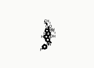 CSCOC(=O)[C@@]1(O)CC[C@H]2[C@@H]3CCC4=Cc5c(cnn5-c5ccc(F)cc5)C[C@]4(C)[C@H]3[C@@H](O)C[C@@]21C